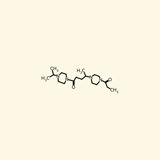 CCC(=O)N1CCN(C(C)CCC(=O)N2CCN(C(C)C)CC2)CC1